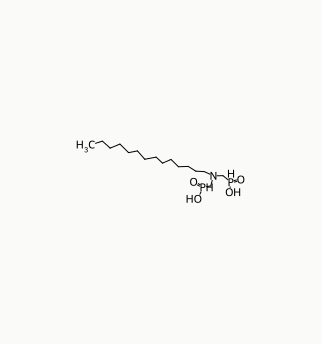 CCCCCCCCCCCCCCN(C[PH](=O)O)C[PH](=O)O